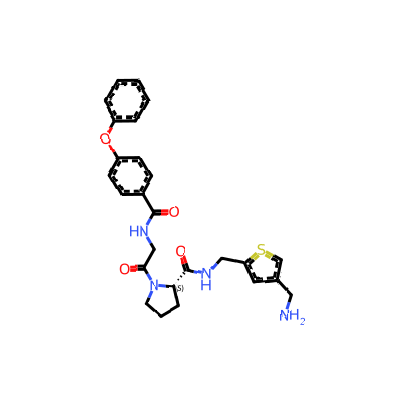 NCc1csc(CNC(=O)[C@@H]2CCCN2C(=O)CNC(=O)c2ccc(Oc3ccccc3)cc2)c1